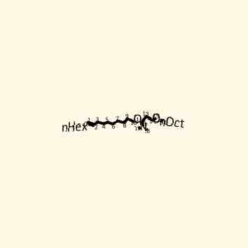 CCCCCCC=CCCCCCCCCOC(CCOCCCCCCCC)N(C)C